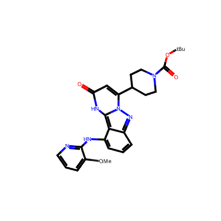 COc1cccnc1Nc1cccc2nn3c(C4CCN(C(=O)OC(C)(C)C)CC4)cc(=O)[nH]c3c12